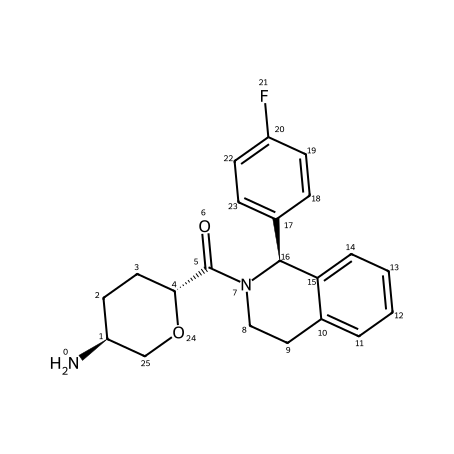 N[C@H]1CC[C@H](C(=O)N2CCc3ccccc3[C@@H]2c2ccc(F)cc2)OC1